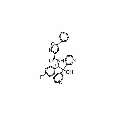 O=C(N[C@H](c1ccc(F)cc1)C(O)(c1cccnc1)c1cccnc1)c1cc(-c2ccccc2)on1